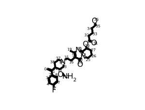 C=C(c1ccc(F)cc1ON)C1CCN(CCc2c(C)nc3n(c2=O)CCCC3OC(=O)CCCC=O)CC1